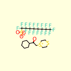 O=C(C[S+]1CCSCC1)C1CCCCC1.O=S(=O)([O-])C(F)(F)C(F)(F)C(F)(F)C(F)(F)C(F)(F)C(F)(F)C(F)(F)C(F)(F)F